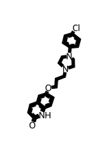 O=c1ccc2cc(OCCCN3CCN(c4ccc(Cl)cc4)CC3)ccc2[nH]1